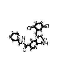 O=C(NCc1cccnc1)c1cnc2c(c1)N(Cc1cc(Cl)ccc1Cl)CCN2